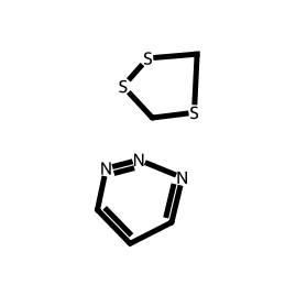 C1SCSS1.c1cnnnc1